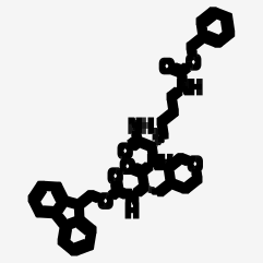 NC(=O)[C@H](CCCCNC(=O)OCc1ccccc1)NC(=O)[C@H](CC1CCOCC1)NC(=O)OCC1c2ccccc2-c2ccccc21